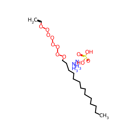 C=COOOOOOOOCCCCCCCCCCCCCC.N.N.O=S(=O)(O)O